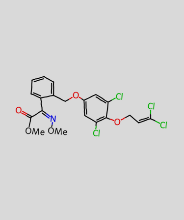 CON=C(C(=O)OC)c1ccccc1COc1cc(Cl)c(OCC=C(Cl)Cl)c(Cl)c1